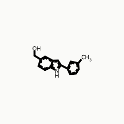 Cc1cccc(-c2cc3cc(CO)ccc3[nH]2)c1